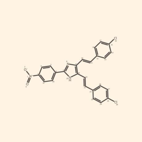 O=[N+]([O-])c1ccc(-c2nc(C=Cc3ccc(Cl)cc3)c(C=Cc3ccc(Cl)cc3)[nH]2)cc1